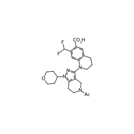 CC(=O)N1CCc2c(c(N3CCCc4cc(C(=O)O)c(C(F)F)cc43)nn2C2CCOCC2)C1